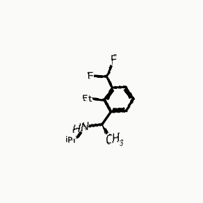 CCc1c(C(F)F)cccc1[C@@H](C)NC(C)C